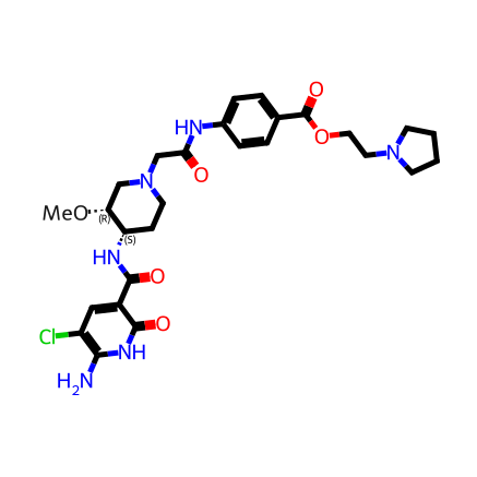 CO[C@@H]1CN(CC(=O)Nc2ccc(C(=O)OCCN3CCCC3)cc2)CC[C@@H]1NC(=O)c1cc(Cl)c(N)[nH]c1=O